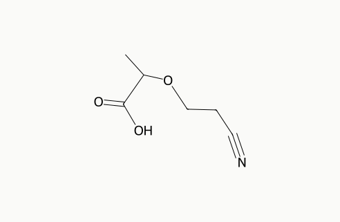 CC(OCCC#N)C(=O)O